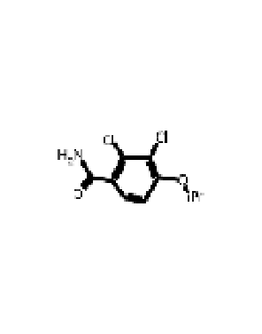 CC(C)Oc1ccc(C(N)=O)c(Cl)c1Cl